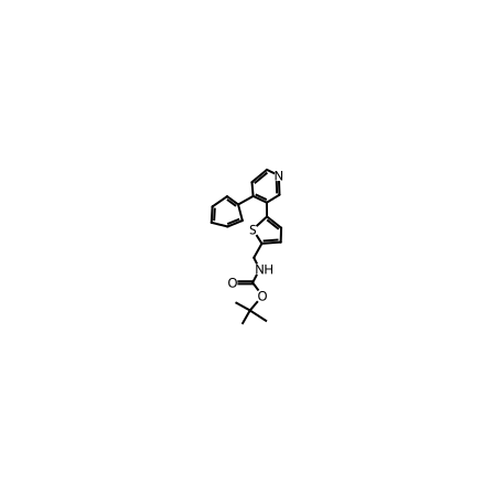 CC(C)(C)OC(=O)NCc1ccc(-c2cnccc2-c2ccccc2)s1